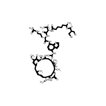 COc1cc2cc(c1Cl)N(C)C(=O)C[C@H](OC(O)Nc1ccc(NC(=O)[C@H](CCCNC(N)=O)NC(=O)[C@@H](NC(=O)CCCCC(C)OC(=O)C(CBr)CBr)C(C)C)c3ncccc13)[C@]1(C)O[C@H]1[C@H](C)[C@@H]1C[C@@](O)(NC(=O)O1)[C@H](OC)/C=C/C=C(\C)C2